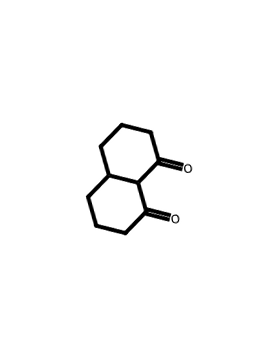 O=C1CCCC2CCCC(=O)C12